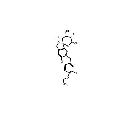 CCOc1ccc(Cc2cc3c(cc2Cl)CO[C@]32O[C@H](C)[C@@H](O)[C@H](O)[C@H]2O)cc1F